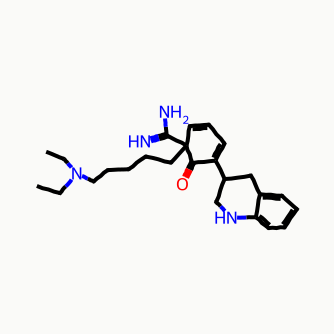 CCN(CC)CCCCCC1(C(=N)N)C=CC=C(C2CNc3ccccc3C2)C1=O